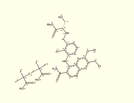 CCOc1cc2ncc(C(N)=O)c(Nc3cccc(CN[C@@H](CO)C(=O)OC)c3CC)c2cc1OCC.O=C(O)C(F)(F)F.O=C(O)C(F)(F)F